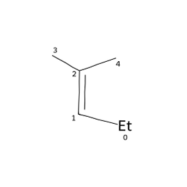 CCC=C(C)C